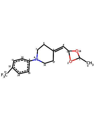 CC1OC(C=C2CCN(c3ccc(C(F)(F)F)cc3)CC2)O1